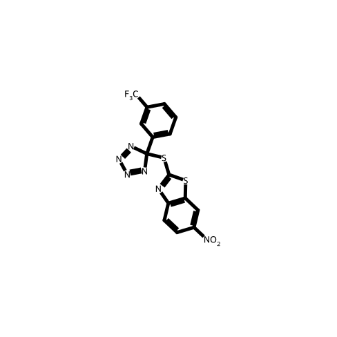 O=[N+]([O-])c1ccc2nc(SC3(c4cccc(C(F)(F)F)c4)N=NN=N3)sc2c1